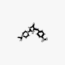 CC(=O)N1CCN(C2=NC(=O)/C(=C/c3ccc([N+](=O)[O-])cc3)N2)CC1